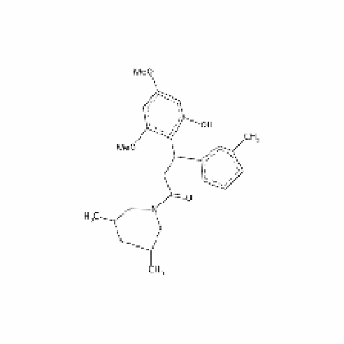 COc1cc(O)c(C(CC(=O)N2CC(C)CC(C)C2)c2cccc(C)c2)c(OC)c1